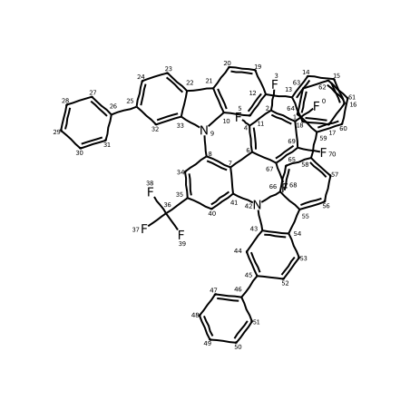 Fc1c(F)c(F)c(-c2c(-n3c4cc(-c5ccccc5)ccc4c4ccc(-c5ccccc5)cc43)cc(C(F)(F)F)cc2-n2c3cc(-c4ccccc4)ccc3c3ccc(-c4ccccc4)cc32)c(F)c1F